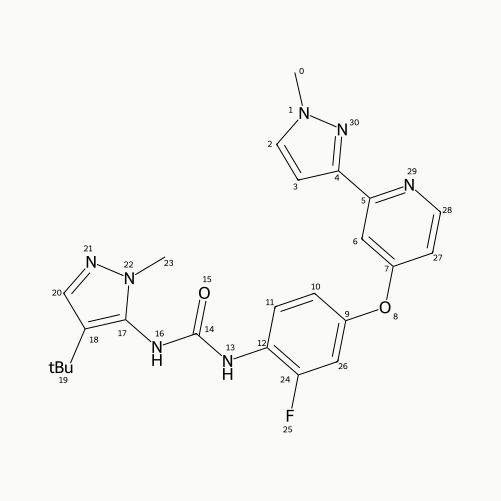 Cn1ccc(-c2cc(Oc3ccc(NC(=O)Nc4c(C(C)(C)C)cnn4C)c(F)c3)ccn2)n1